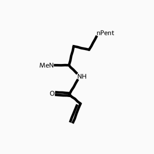 C=CC(=O)NC(CCCCCCC)NC